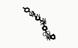 CC1CCC(N2CCN(c3ccc(-c4nnc(-c5ccc(C(=O)On6nnc7ccccc76)cc5)s4)cn3)CC2)CC1